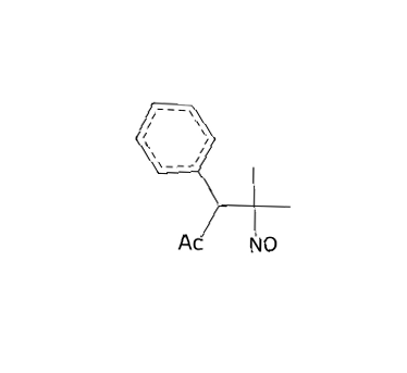 CC(=O)C(c1ccccc1)C(C)(C)N=O